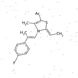 CC=C1SC(C(C)=O)=C(C)N1/C=C(\C)c1ccc(F)cc1